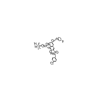 CC1(C)CN(C(=O)Cn2c(=O)c(C(=O)NCc3ccc(Cl)cc3)cc3cc(OCCN4CC[C@H](F)C4)cnc32)C1